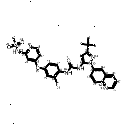 CC(C)(C)c1cc(NC(=O)Nc2ccc(Oc3ccnc(NS(C)(=O)=O)c3)cc2F)n(-c2ccc3ncccc3c2)n1